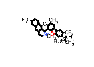 Cc1cc2c(oc3cc([Si](C)(C)C)c(C(F)(F)F)cc32)c(-c2c3cc4ccc(C(F)(F)F)cc4cc3cc[n+]2C)c1C